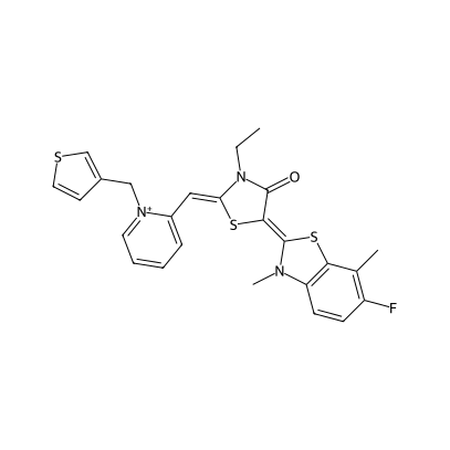 CCn1c(=O)/c(=C2\Sc3c(ccc(F)c3C)N2C)s/c1=C\c1cccc[n+]1Cc1ccsc1